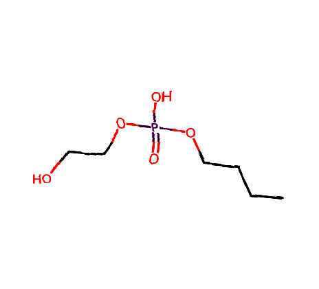 CCCCOP(=O)(O)OCCO